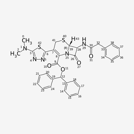 CN(C)c1nnc(C2=C(C(=O)OC(c3ccccc3)c3ccccc3)N3C(=O)C(NC(=O)Cc4ccccc4)[C@H]3SC2)s1